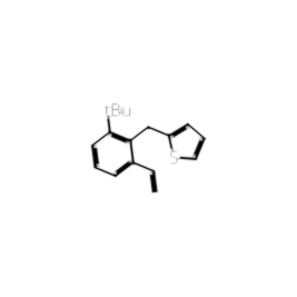 C=Cc1cccc(C(C)(C)C)c1Cc1cccs1